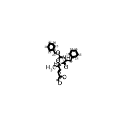 CC(/C=C/C(=O)C=O)NC(=O)C(Cc1ccccc1)NC(=O)OCc1ccccc1